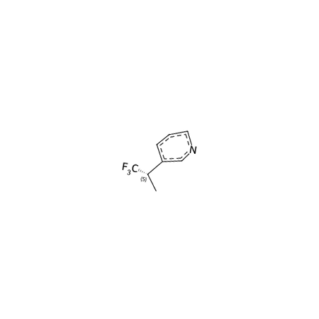 C[C@@H](c1cccnc1)C(F)(F)F